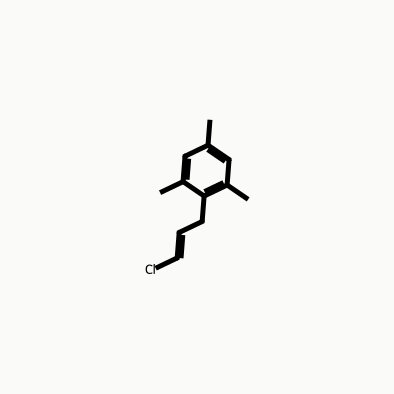 Cc1cc(C)c(CC=CCl)c(C)c1